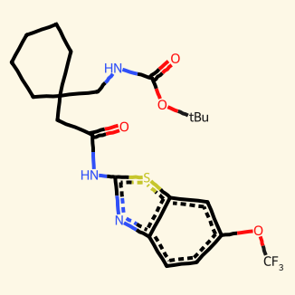 CC(C)(C)OC(=O)NCC1(CC(=O)Nc2nc3ccc(OC(F)(F)F)cc3s2)CCCCC1